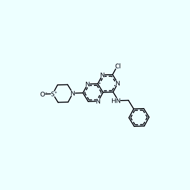 [O-][S+]1CCN(c2cnc3c(NCc4ccccc4)nc(Cl)nc3n2)CC1